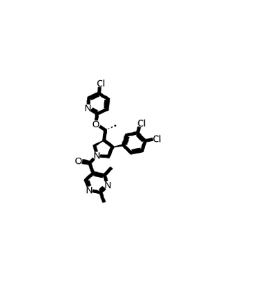 Cc1ncc(C(=O)N2C[C@@H]([C@@H](C)Oc3ccc(Cl)cn3)[C@@H](c3ccc(Cl)c(Cl)c3)C2)c(C)n1